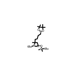 CC(C)(C)N1C[C@H](O[Si](C)(C)C(C)(C)C)CC1(C)CCCCB1OC(C)(C)C(C)(C)O1